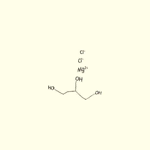 OCC(O)CO.[Cl-].[Cl-].[Mg+2]